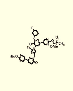 CCc1sc(Cn2nc(-c3cnc(OCC(C)C)nc3)ccc2=O)c[n+]1-c1cc(-c2cnc(OCC(C)(C)OC)nc2)nn(Cc2cncc(F)c2)c1=O